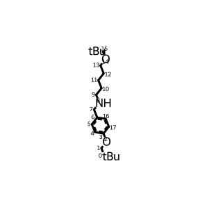 CC(C)(C)COc1ccc(CNCCCCCOC(C)(C)C)cc1